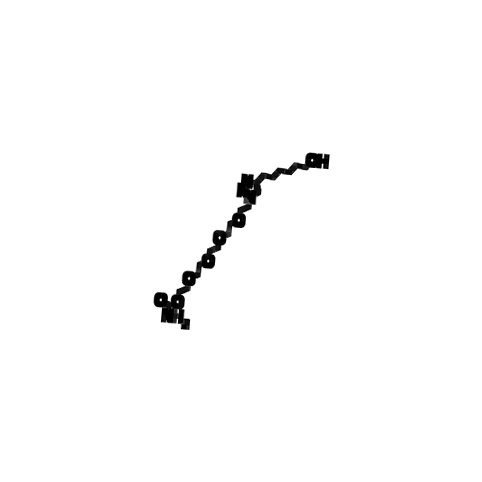 NC(=O)OCCOCCOCCOCCOCCn1cc(CCCCCCO)nn1